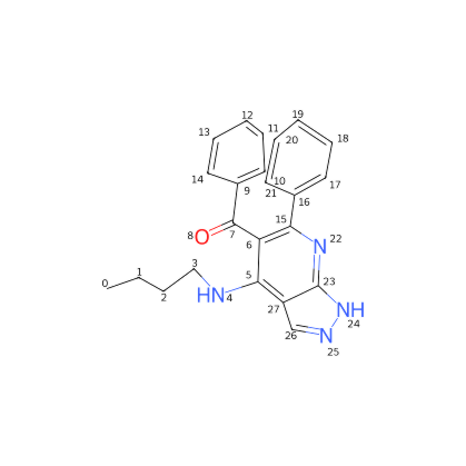 CCCCNc1c(C(=O)c2ccccc2)c(-c2ccccc2)nc2[nH]ncc12